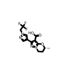 C[C@@H]1CCn2nc(-c3cnn(CC(F)(F)F)c3)c(C(=O)O)c2O1